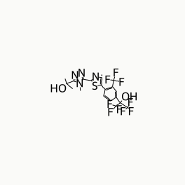 Cn1c(-c2n[c]c(-c3ccc(C(O)(C(F)(F)F)C(F)(F)F)cc3C(F)(F)F)s2)nnc1C(C)(C)O